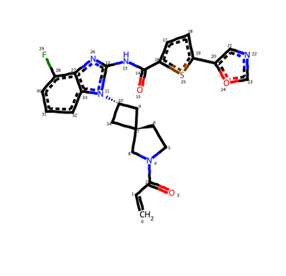 C=CC(=O)N1CC[C@]2(C1)C[C@@H](n1c(NC(=O)c3ccc(-c4cnco4)s3)nc3c(F)cccc31)C2